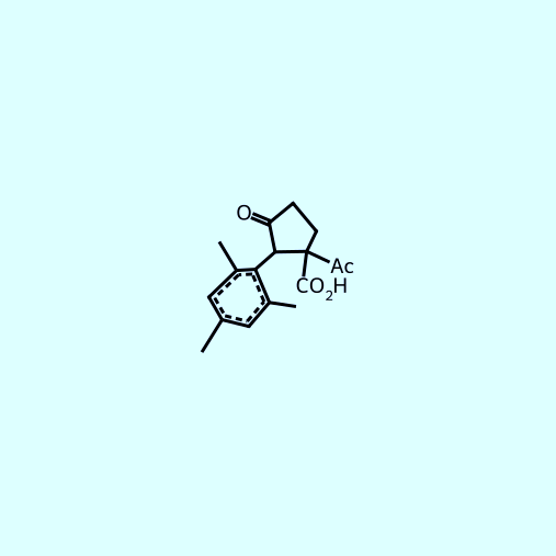 CC(=O)C1(C(=O)O)CCC(=O)C1c1c(C)cc(C)cc1C